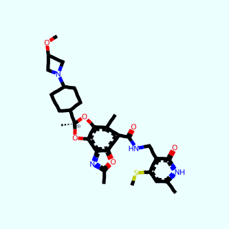 COC1CN(C2CCC([C@@]3(C)Oc4c(C)c(C(=O)NCc5c(SC)cc(C)[nH]c5=O)c5oc(C)nc5c4O3)CC2)C1